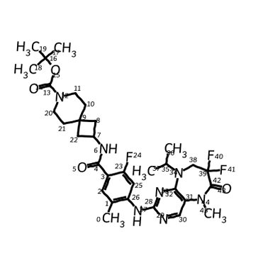 Cc1cc(C(=O)NC2CC3(CCN(C(=O)OC(C)(C)C)CC3)C2)c(F)cc1Nc1ncc2c(n1)N(C(C)C)CC(F)(F)C(=O)N2C